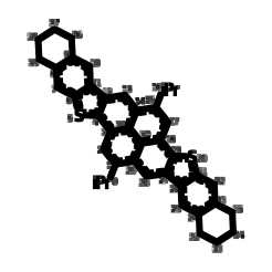 CC(C)c1cc2c3sc4cc5c(cc4c3cc3c(C(C)C)cc4c6sc7cc8c(cc7c6cc1c4c32)CCCC8)CCCC5